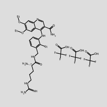 CCOc1cc2ncc(C(N)=O)c(Nc3cccc(CNC(=O)[C@@H](N)CCCNC(=N)N)c3CC)c2cc1OCC.O=C(O)C(F)(F)F.O=C(O)C(F)(F)F.O=C(O)C(F)(F)F